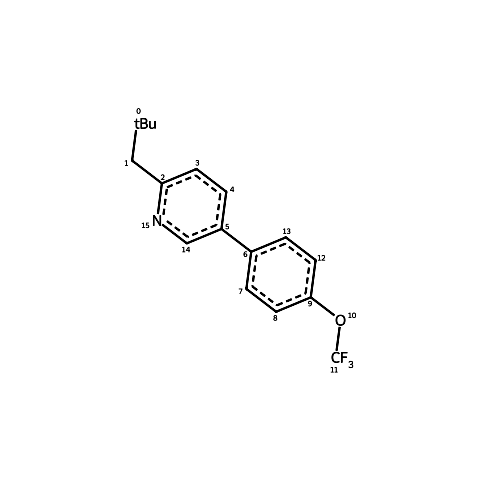 CC(C)(C)Cc1ccc(-c2ccc(OC(F)(F)F)cc2)cn1